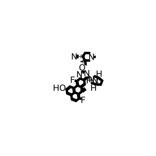 C#Cc1c(F)ccc2cc(O)cc(-c3c(F)cc4c(N5C[C@H]6CC[C@@H](C5)N6)nc(OC[C@@]5(C)CN(C)CC[C@H]5C#N)nc4c3F)c12